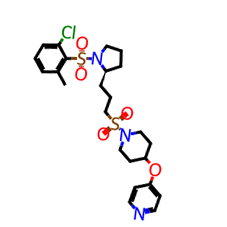 Cc1cccc(Cl)c1S(=O)(=O)N1CCC[C@H]1CCCS(=O)(=O)N1CCC(Oc2ccncc2)CC1